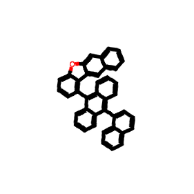 c1ccc2cc3c(cc2c1)oc1cccc(-c2c4ccccc4c(-c4cccc5ccccc45)c4ccccc24)c13